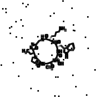 CCC1c2nnc(o2)CNC(=O)[C@H](CCCCN)NC(=O)[C@H](Cc2c[nH]c3ccccc23)NC(=O)[C@H](CO)NC(=O)[C@H](C)NC(=O)[C@@H]2CCCN12